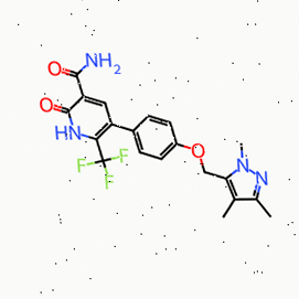 Cc1nn(C)c(COc2ccc(-c3cc(C(N)=O)c(=O)[nH]c3C(F)(F)F)cc2)c1C